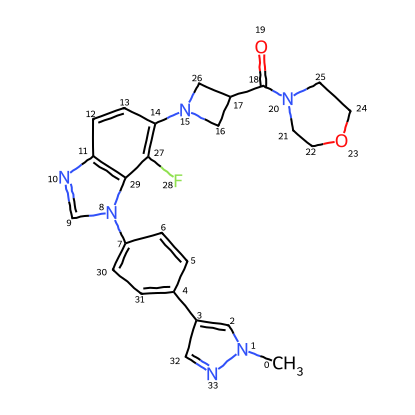 Cn1cc(-c2ccc(-n3cnc4ccc(N5CC(C(=O)N6CCOCC6)C5)c(F)c43)cc2)cn1